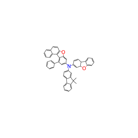 CC1(C)c2ccccc2-c2ccc(N(C3=CC4Oc5ccccc5C4C=C3)c3cc(-c4ccccc4)c4c(c3)oc3ccc5ccccc5c34)cc21